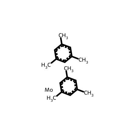 Cc1cc(C)cc(C)c1.Cc1cc(C)cc(C)c1.[Mo]